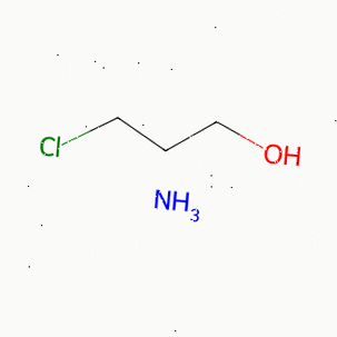 N.OCCCCl